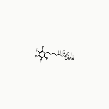 CO[Si](C)(C)CCCCCCc1c(F)c(F)c(F)c(F)c1F